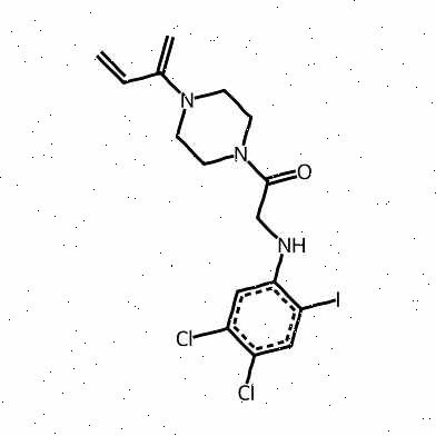 C=CC(=C)N1CCN(C(=O)CNc2cc(Cl)c(Cl)cc2I)CC1